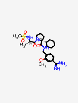 COc1cc(C(=N)N)ccc1CNC(=O)[C@]1(C2CCCCC2)CCCN1C(=O)[C@H](C)NS(C)(=O)=O